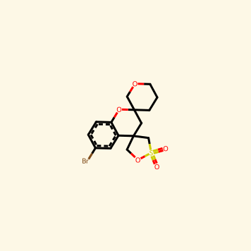 O=S1(=O)CC2(CO1)CC1(CCCOC1)Oc1ccc(Br)cc12